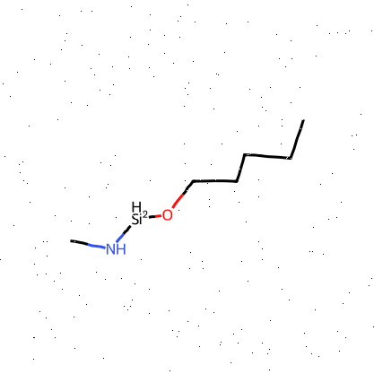 CCCCCO[SiH2]NC